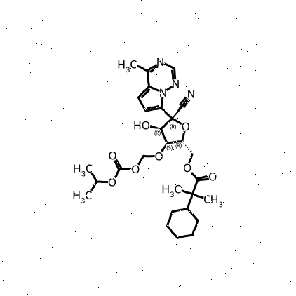 Cc1ncnn2c([C@]3(C#N)O[C@H](COC(=O)C(C)(C)C4CCCCC4)[C@@H](OCOC(=O)OC(C)C)[C@H]3O)ccc12